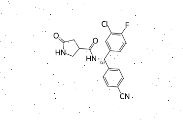 N#Cc1ccc([C@H](NC(=O)C2CNC(=O)C2)c2ccc(F)c(Cl)c2)cc1